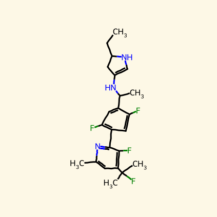 CCC1CC(NC(C)c2cc(F)c(-c3nc(C)cc(C(C)(C)F)c3F)cc2F)=CN1